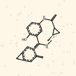 C=C(Nc1ccc(O)c(/C(NC)=c2\cc3c(cc2=C)C3)c1)C1C[C@H]1C